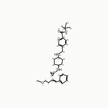 COCCC(=Cc1ccccc1)[C@@H]1C[C@H]1NC1CCC(NCc2ccc(C(=O)OC(C)(C)C)nc2)CC1